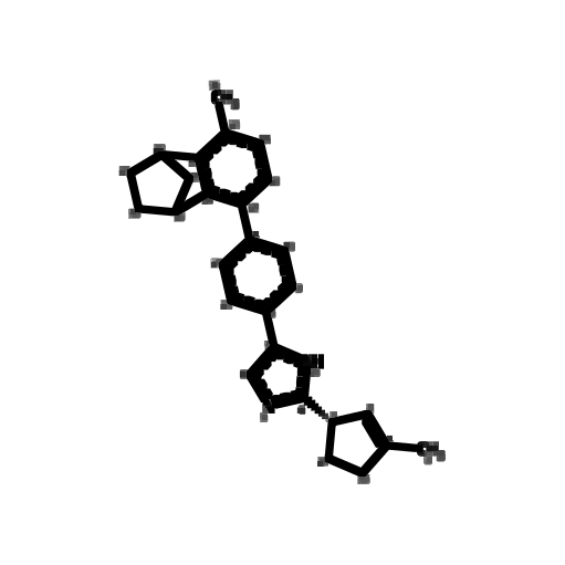 CC1=C[C@@H](c2ncc(-c3ccc(-c4ccc(C)c5c4C4CCC5C4)cc3)[nH]2)CC1